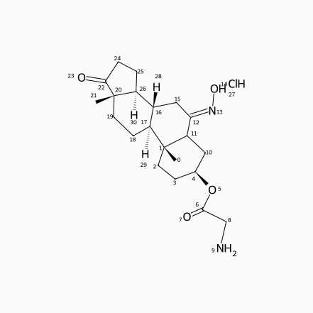 C[C@]12CC[C@H](OC(=O)CN)CC1/C(=N/O)C[C@@H]1[C@@H]2CC[C@]2(C)C(=O)CC[C@@H]12.Cl